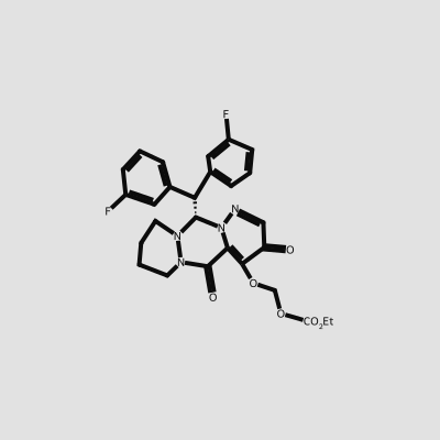 CCOC(=O)OCOc1c2n(ncc1=O)[C@@H](C(c1cccc(F)c1)c1cccc(F)c1)N1CCCCN1C2=O